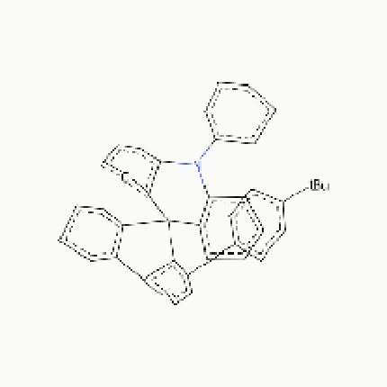 CC(C)(C)c1ccc(-c2cccc3c2C2(c4ccccc4-3)c3ccccc3N(c3ccccc3)c3ccccc32)cc1